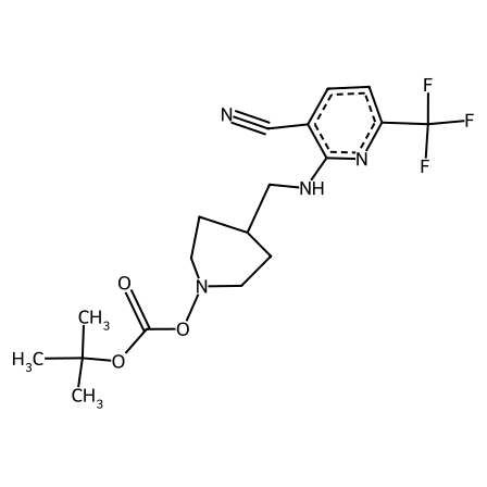 CC(C)(C)OC(=O)ON1CCC(CNc2nc(C(F)(F)F)ccc2C#N)CC1